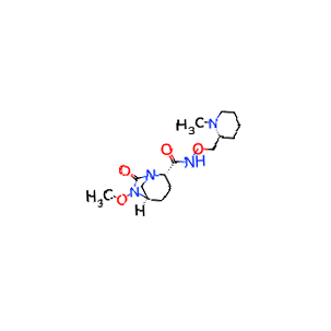 CON1C(=O)N2C[C@H]1CC[C@H]2C(=O)NOC[C@@H]1CCCCN1C